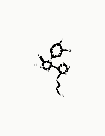 Cl.N#Cc1cc(-n2c(-c3nonc3SCCN)noc2=O)ccc1F